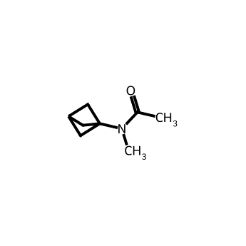 CC(=O)N(C)C12CC(C1)C2